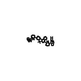 CC1(C)c2cc(-c3cccc(-c4ncco4)n3)ccc2-c2c1cc(-c1cccc(C3NC=CO3)n1)c1ccccc21